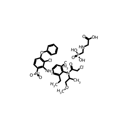 CCc1cccc(C)c1N(C(=O)CCl)C(C)COC.Nc1c([N+](=O)[O-])ccc(Oc2ccccc2)c1Cl.O=C(O)CNCP(=O)(O)O